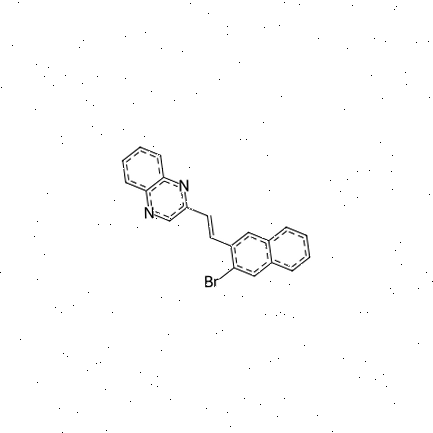 Brc1cc2ccccc2cc1C=Cc1cnc2ccccc2n1